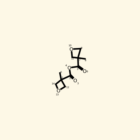 CC1(C(=O)OC(=O)C2(C)COC2)COC1